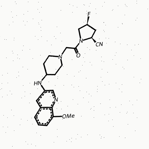 COc1cccc2cc(NC3CCN(CC(=O)N4C[C@@H](F)C[C@H]4C#N)CC3)cnc12